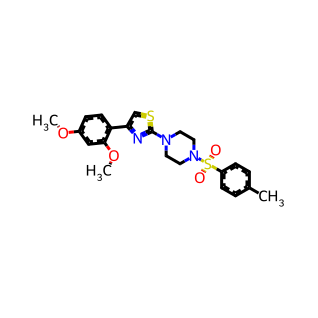 COc1ccc(-c2csc(N3CCN(S(=O)(=O)c4ccc(C)cc4)CC3)n2)c(OC)c1